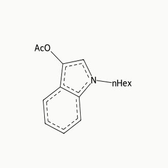 CCCCCCn1cc(OC(C)=O)c2ccccc21